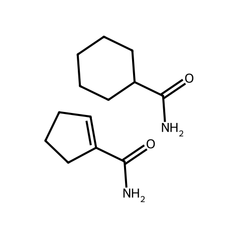 NC(=O)C1=CCCC1.NC(=O)C1CCCCC1